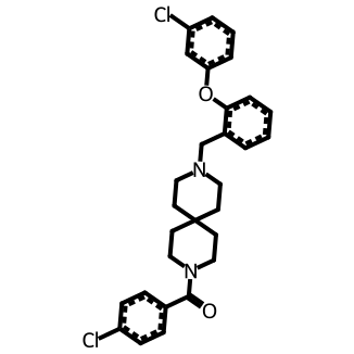 O=C(c1ccc(Cl)cc1)N1CCC2(CCN(Cc3ccccc3Oc3cccc(Cl)c3)CC2)CC1